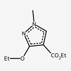 CCOC(=O)c1cn(C)nc1OCC